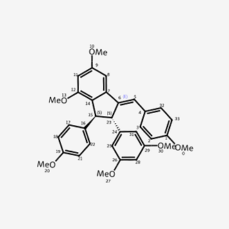 COc1ccc(/C=C2/c3cc(OC)cc(OC)c3[C@H](c3ccc(OC)cc3)[C@H]2c2cc(OC)cc(OC)c2)cc1